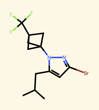 CC(C)Cc1cc(Br)nn1C12CC(C(F)(F)F)(C1)C2